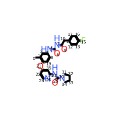 Cc1cc(NC(=O)NC(=O)Cc2ccc(F)cc2)ccc1Oc1ccnc(NC(=O)N2CCCC2)c1